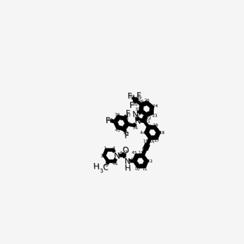 CC1CCCN(C(=O)Nc2cccc(C#Cc3cccc(-c4c5cccc(C(F)(F)F)c5nn4Cc4c(F)cc(F)cc4F)c3)c2)C1